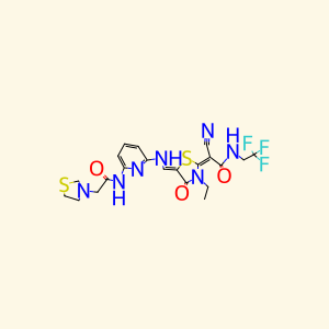 CCn1c(=C(C#N)C(=O)NCC(F)(F)F)sc(=CNc2cccc(NC(=O)CN3CCSC3)n2)c1=O